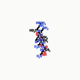 C[C@H](NC(=O)C[C@@H](O)CN)C(=O)NCC(=O)N[C@H](CCCN)C(=O)N(C)[C@@H](C)C(=O)N[C@@H](Cc1cnc[nH]1)C(=O)N[C@@H](CCCCN)C(=O)N/C(=C\CCNC(=N)N)C(=O)O